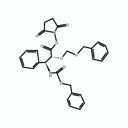 O=C(N[C@@H](c1ccccc1)[C@@H](OCOCc1ccccc1)C(=O)ON1C(=O)CCC1=O)OCc1ccccc1